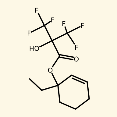 CCC1(OC(=O)C(O)(C(F)(F)F)C(F)(F)F)C=CCCC1